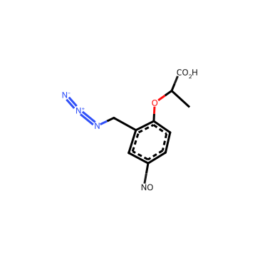 CC(Oc1ccc(N=O)cc1CN=[N+]=[N-])C(=O)O